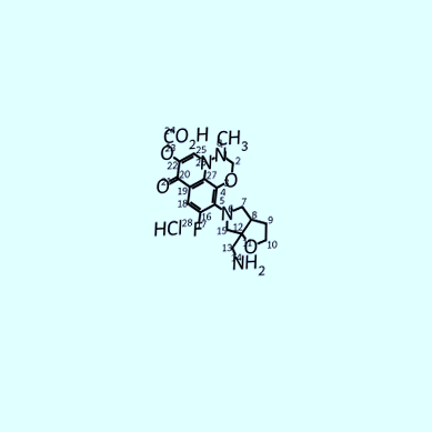 CN1COc2c(N3CC4CCOC4(CN)C3)c(F)cc3c(=O)c(OC(=O)O)cn1c23.Cl